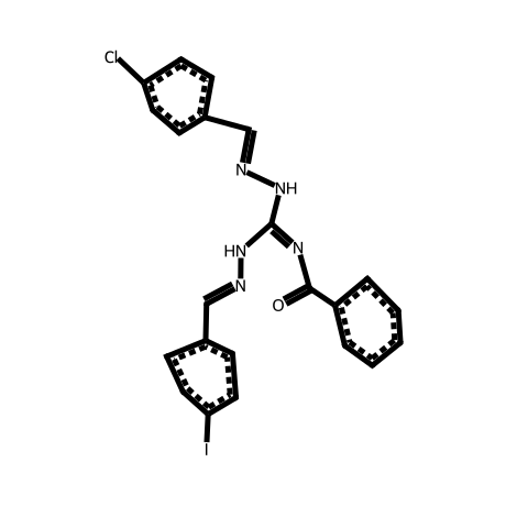 O=C(N=C(NN=Cc1ccc(Cl)cc1)NN=Cc1ccc(I)cc1)c1ccccc1